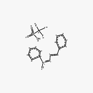 CC[N+](=CC=Cc1ccccc1)c1ccccc1.O=S(=O)(O)C(F)(F)F